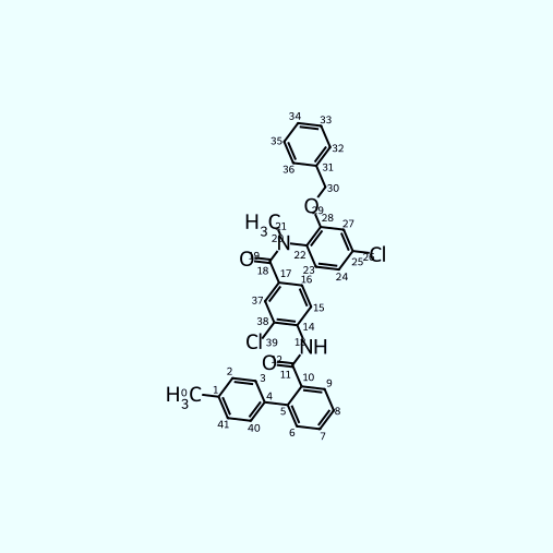 Cc1ccc(-c2ccccc2C(=O)Nc2ccc(C(=O)N(C)c3ccc(Cl)cc3OCc3ccccc3)cc2Cl)cc1